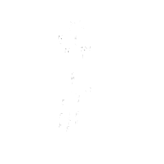 CC(CC#Cc1ccc(S(F)(F)(F)(F)F)cc1Cl)Nc1ncnc2sccc12